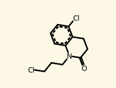 O=C1CCc2c(Cl)cccc2N1CCCCl